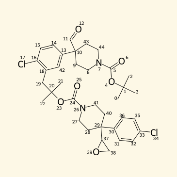 CC(C)(C)OC(=O)N1CCC(C=O)(c2ccc(Cl)c(CC(C)(C)OC(=O)N3CCC(c4ccc(Cl)cc4)(C4CO4)CC3)c2)CC1